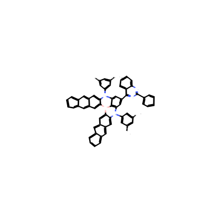 CC(C)(C)c1cc(N2c3cc4cc5ccccc5cc4cc3B3c4cc5cc6ccccc6cc5cc4N(c4cc(C(C)(C)C)cc(C(C)(C)C)c4)c4cc(-c5nc(-c6ccccc6)nc6ccccc56)cc2c43)cc(C(C)(C)C)c1